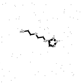 OCCOCCO.c1cnon1